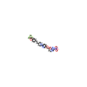 O=[N+]([O-])c1cn2c(n1)O[C@@H](COc1ccc(N3CCC(CCc4ccc(OC(F)(F)F)cc4)CC3)nc1)CC2